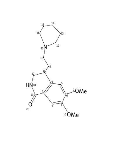 COc1cc2c(cc1OC)C(CCN1CCCCC1)CNC2=O